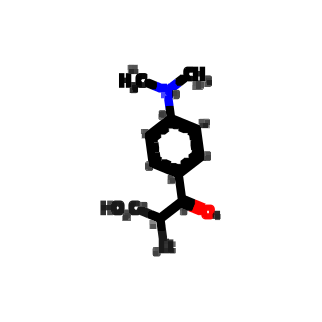 CCC(C(=O)O)C(=O)c1ccc(N(C)C)cc1